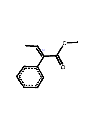 C/C=C(/C(=O)OC)c1ccccc1